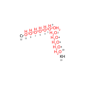 O.O.O.O.O.O.O.O.O.O.O.O.[Cr].[KH]